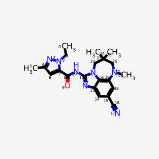 CCn1nc(C)cc1C(=O)Nc1nc2cc(C#N)cc3c2n1CC(C)(C)CN3C